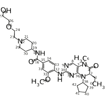 CC[C@@H]1C(=O)N(C)c2cnc(Nc3ccc(C(=O)NC4CCN(CCOCCO)CC4)cc3OC)nc2N1C1CCCC1